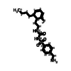 CCCCC1C=CC=C(F)C1CCNC(=O)NS(=O)(=O)c1ccc(CN)cc1